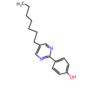 CCCCCCCc1cnc(-c2ccc(O)cc2)nc1